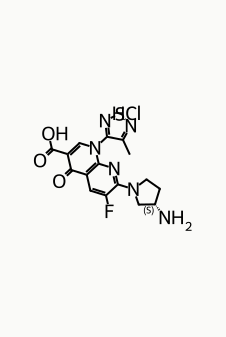 Cc1nsnc1-n1cc(C(=O)O)c(=O)c2cc(F)c(N3CC[C@H](N)C3)nc21.Cl